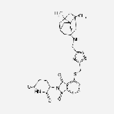 CC12CC3CC4(NCc5csc(CSc6cccc7c6C(=O)N(C6CCC(=O)NC6=O)C7=O)n5)CC(C)(C1)C2(C3)C4